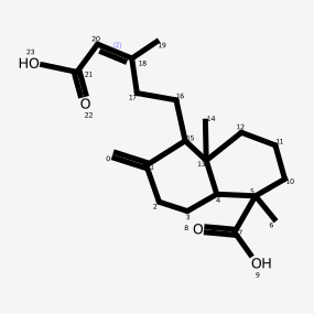 C=C1CCC2C(C)(C(=O)O)CCCC2(C)C1CC/C(C)=C\C(=O)O